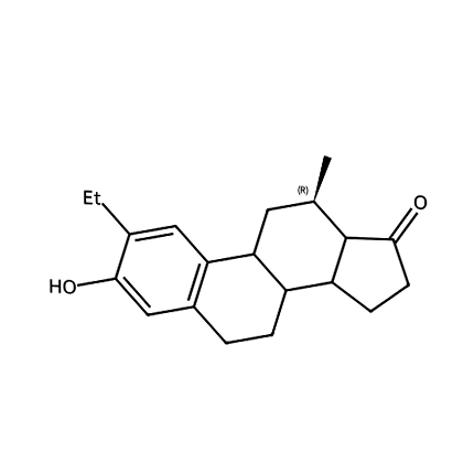 CCc1cc2c(cc1O)CCC1C2C[C@@H](C)C2C(=O)CCC12